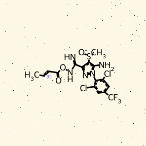 C/C=C/C(=O)ONC(=N)c1nn(-c2c(Cl)cc(C(F)(F)F)cc2Cl)c(N)c1[S+](C)[O-]